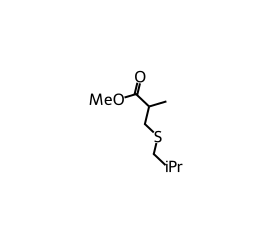 COC(=O)C(C)CSCC(C)C